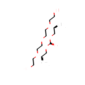 C=CCOC(=O)OCC=C.OCCOCCOCCOCCO